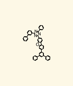 c1ccc(-c2cc(-c3ccccc3)cc(-c3ccc4c(c3)oc3cc(-c5nc(-c6ccccc6)nc(-c6cccc(-c7ccccc7)c6)n5)ccc34)c2)cc1